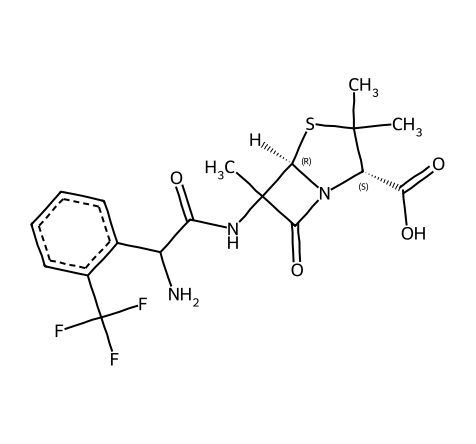 CC1(C)S[C@H]2N(C(=O)C2(C)NC(=O)C(N)c2ccccc2C(F)(F)F)[C@H]1C(=O)O